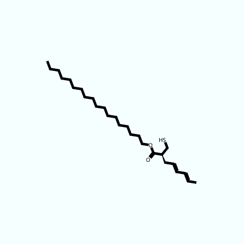 C/C=C/C=C/C[C@H](CS)C(=O)OCCCCCCCCCCCCCCCCCC